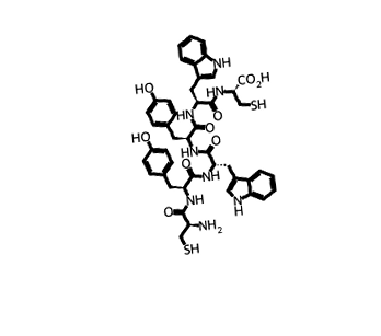 N[C@@H](CS)C(=O)N[C@@H](Cc1ccc(O)cc1)C(=O)N[C@@H](Cc1c[nH]c2ccccc12)C(=O)N[C@@H](Cc1ccc(O)cc1)C(=O)N[C@@H](Cc1c[nH]c2ccccc12)C(=O)N[C@@H](CS)C(=O)O